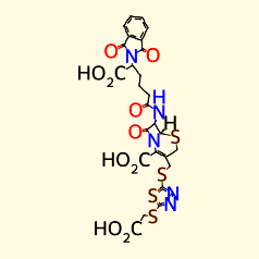 O=C(O)CSc1nnc(SCC2=C(C(=O)O)N3C(=O)[C@@H](NC(=O)CCCC(C(=O)O)N4C(=O)c5ccccc5C4=O)[C@@H]3SC2)s1